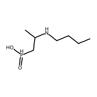 CCCCNC(C)C[PH](=O)O